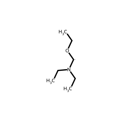 CCO[CH]N(CC)CC